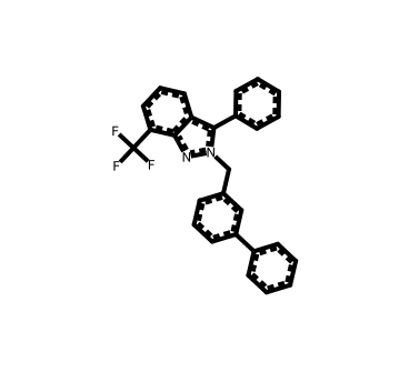 FC(F)(F)c1cccc2c(-c3ccccc3)n(Cc3cccc(-c4ccccc4)c3)nc12